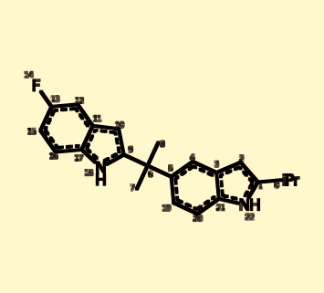 CC(C)c1cc2cc(C(C)(C)c3cc4cc(F)ccc4[nH]3)ccc2[nH]1